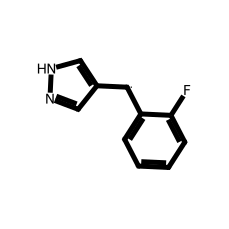 Fc1ccccc1[CH]c1cn[nH]c1